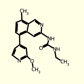 CCNC(=O)Nc1cc2c(-c3ccnc(OC)c3)ccc(C)c2cn1